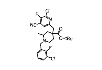 CC1CC(Cc2cc(C#N)c(F)c(Cl)n2)(C(=O)OC(C)(C)C)CCN1Cc1cccc(Cl)c1F